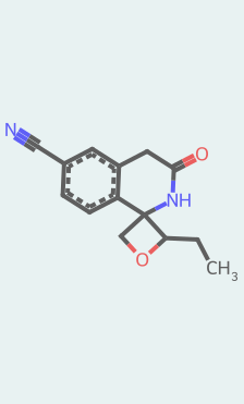 CCC1OCC12NC(=O)Cc1cc(C#N)ccc12